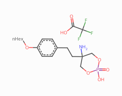 CCCCCCOc1ccc(CCC2(N)COP(=O)(O)OC2)cc1.O=C(O)C(F)(F)F